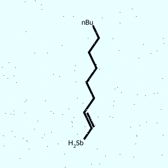 CCCCCCCCCC=[CH][SbH2]